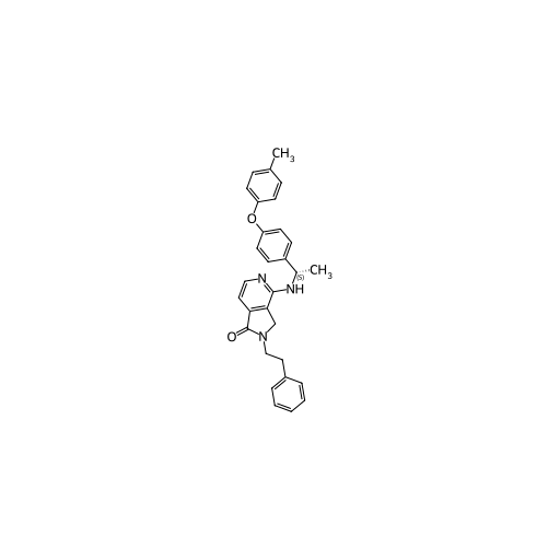 Cc1ccc(Oc2ccc([C@H](C)Nc3nccc4c3CN(CCc3ccccc3)C4=O)cc2)cc1